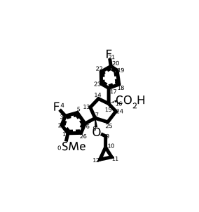 CSc1cc(F)cc([C@]2(OCC3CC3)CC[C@@](C(=O)O)(c3ccc(F)cc3)CC2)c1